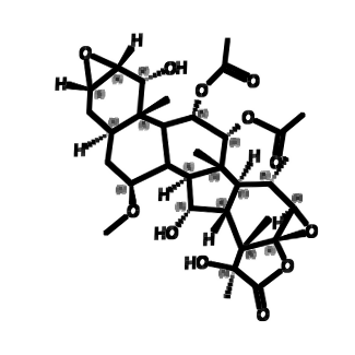 CO[C@H]1C[C@H]2C[C@@H]3O[C@@H]3[C@H](O)[C@]2(C)C2C1[C@@H]1[C@@H](O)[C@@H]3[C@H]([C@H](C)[C@H]4O[C@]45OC(=O)[C@@](C)(O)[C@]35C)[C@@]1(C)[C@@H](OC(C)=O)[C@H]2OC(C)=O